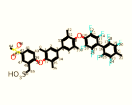 Cc1cc(-c2cc(C)c(Oc3c(F)c(F)c(-c4c(F)c(F)c(C)c(F)c4F)c(F)c3F)c(C)c2)cc(C)c1Oc1ccc(S(C)(=O)=O)cc1CS(=O)(=O)O